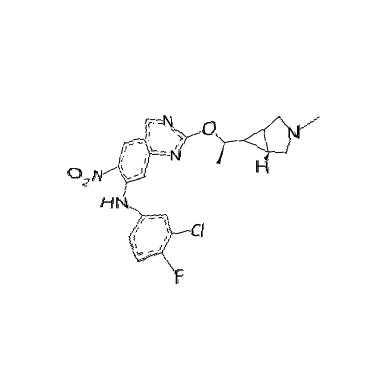 C[C@@H](Oc1ncc2cc([N+](=O)[O-])c(Nc3ccc(F)c(Cl)c3)cc2n1)C1C2CN(C)C[C@@H]21